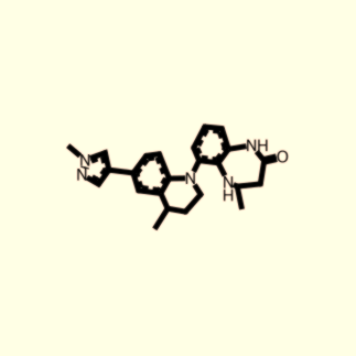 CC1CC(=O)Nc2cccc(N3CCC(C)c4cc(-c5cnn(C)c5)ccc43)c2N1